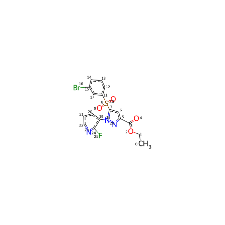 CCOC(=O)c1cc(S(=O)(=O)c2cccc(Br)c2)n(-c2cccnc2F)n1